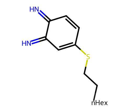 CCCCCCCCSC1=CC(=N)C(=N)C=C1